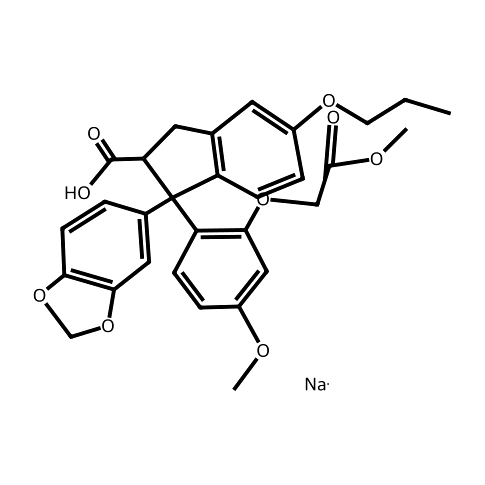 CCCOc1ccc2c(c1)CC(C(=O)O)C2(c1ccc2c(c1)OCO2)c1ccc(OC)cc1OCC(=O)OC.[Na]